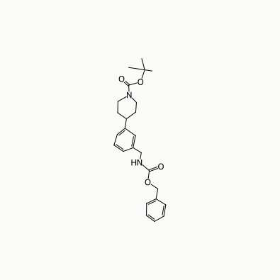 CC(C)(C)OC(=O)N1CCC(c2cccc(CNC(=O)OCc3ccccc3)c2)CC1